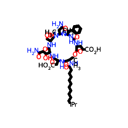 CC(C)CCCCCCCCCCC(=O)NC1C(=O)NC(CC(=O)O)C(=O)NC(C(O)CC(N)=O)C(=O)NC(CO)C(=O)N(C)C(CC(N)=O)N(C)C(Cc2ccccc2)NC(=O)NC(CCC(=O)O)C(=O)OC1C